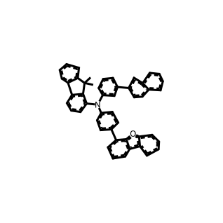 CC1(C)c2ccccc2-c2cccc(N(c3ccc(-c4cccc5c4oc4ccccc45)cc3)c3cccc(-c4ccc5ccccc5c4)c3)c21